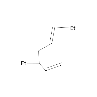 C=CC(CC)CC=CCC